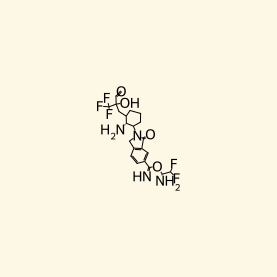 N=C(OC(N)C(F)F)c1ccc2c(c1)C(=O)N(C1CCCC(CC(O)(C=O)C(F)(F)F)[C@H]1N)C2